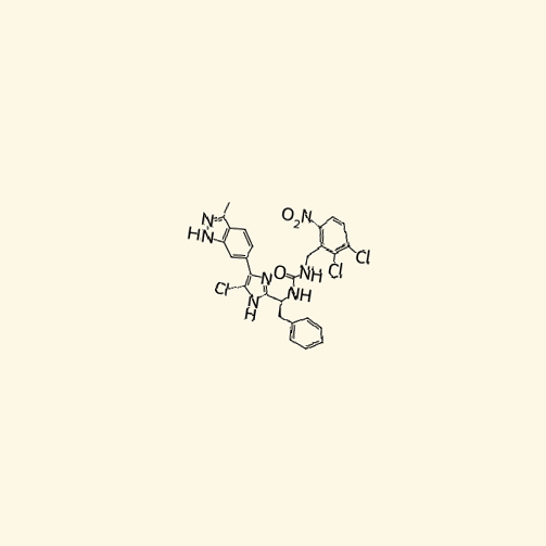 Cc1n[nH]c2cc(-c3nc([C@H](Cc4ccccc4)NC(=O)NCc4c([N+](=O)[O-])ccc(Cl)c4Cl)[nH]c3Cl)ccc12